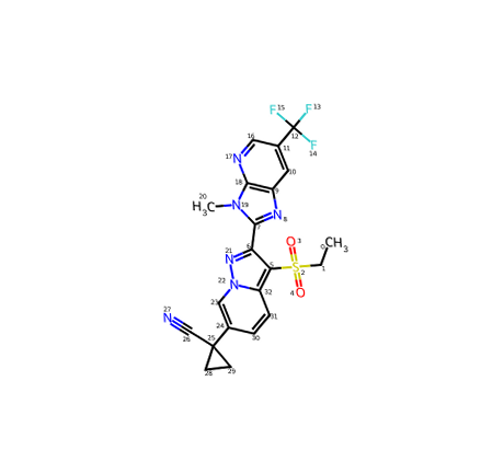 CCS(=O)(=O)c1c(-c2nc3cc(C(F)(F)F)cnc3n2C)nn2cc(C3(C#N)CC3)ccc12